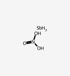 O=[Si](O)O.[SbH3]